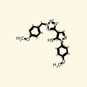 COc1ccc(Cn2nnc(-c3cnn(-c4ccc(OC)cc4)c3S)n2)cc1